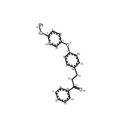 CC(C)Oc1ccc(Oc2ccc(CCC(=O)c3ccccc3)cc2)cn1